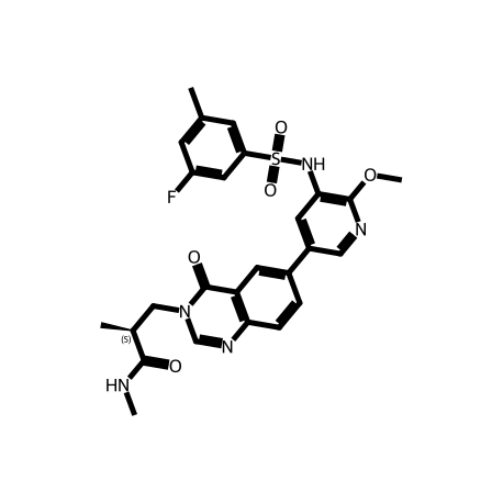 CNC(=O)[C@@H](C)Cn1cnc2ccc(-c3cnc(OC)c(NS(=O)(=O)c4cc(C)cc(F)c4)c3)cc2c1=O